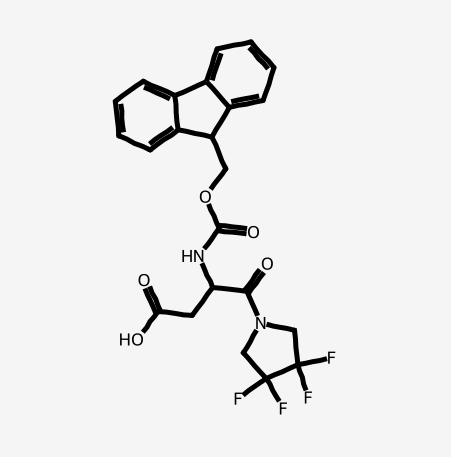 O=C(O)CC(NC(=O)OCC1c2ccccc2-c2ccccc21)C(=O)N1CC(F)(F)C(F)(F)C1